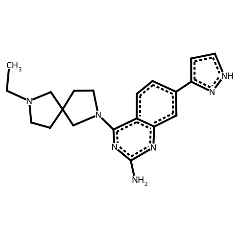 CCN1CCC2(CCN(c3nc(N)nc4cc(-c5cc[nH]n5)ccc34)C2)C1